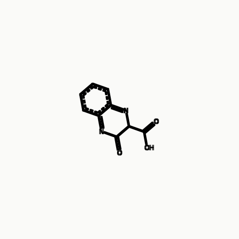 O=C(O)C1N=c2ccccc2=NC1=O